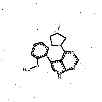 COc1ccccc1-c1c[nH]c2ncnc(N3CC[C@H](F)C3)c12